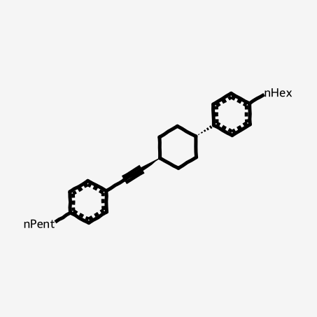 CCCCCCc1ccc([C@H]2CC[C@H](C#Cc3ccc(CCCCC)cc3)CC2)cc1